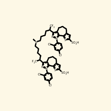 CN(CCCCC(c1nn(-c2ccc(Cl)cc2Cl)c2c1CCCc1cc(S(=O)(=O)O)sc1-2)C(F)(F)F)CCCCC(c1nn(-c2ccc(Cl)cc2Cl)c2c1CCCc1cc(S(=O)(=O)O)sc1-2)C(F)(F)F